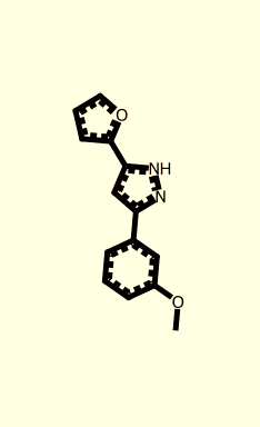 COc1cccc(-c2cc(-c3ccco3)[nH]n2)c1